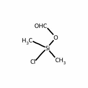 C[Si](C)(Cl)OC=O